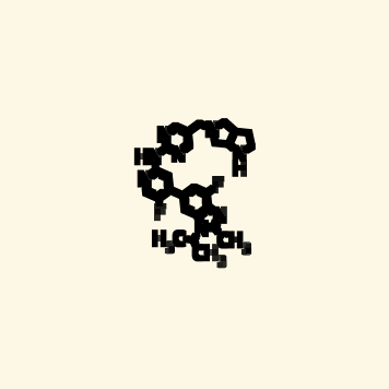 Cc1nc2c(F)cc(-c3cc(Nc4ncc(CN5CC6CCNC6C5)cn4)ncc3F)cc2n1C(C)C